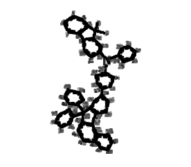 CC1(C)c2ccccc2-c2ccc(N(c3ccccc3)c3ccc(-c4ccc5c(c4)C(c4ccccc4)(c4ccccc4)c4ccc6ccccc6c4-5)cc3)cc21